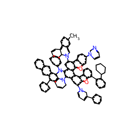 Cc1ccc2c(c1)=CN(c1cc3c(N(c4ccccc4)c4ccc(-c5ccccc5)c5cc6ccccc6cc45)c(N4C=CC=CC4)c4cc(N5C=CC=C(c6ccccc6)C5)c5oc6c(-c7ccccc7C7CCCCC7)cccc6c5c4c3c3oc4cc(N5C=CC=NC5)ccc4c13)C1C=CC=CC=21